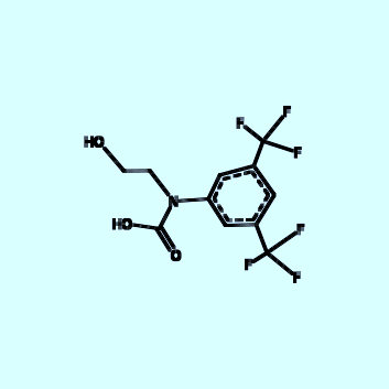 O=C(O)N(CCO)c1cc(C(F)(F)F)cc(C(F)(F)F)c1